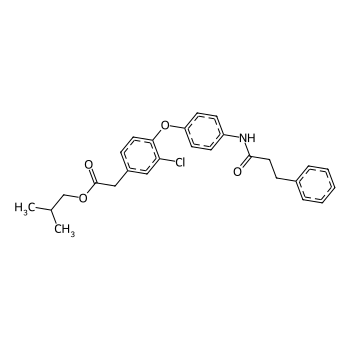 CC(C)COC(=O)Cc1ccc(Oc2ccc(NC(=O)CCc3ccccc3)cc2)c(Cl)c1